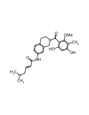 COc1c(C)c(O)cc(O)c1C(=O)N1CCc2ccc(NC(=O)/C=C/CN(C)C)cc2C1